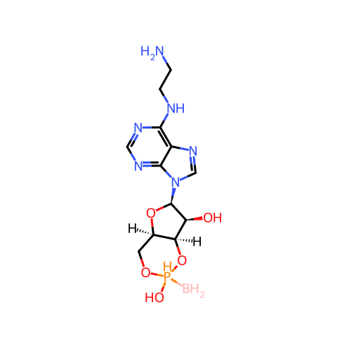 B[PH]1(O)OC[C@H]2O[C@@H](n3cnc4c(NCCN)ncnc43)[C@@H](O)[C@H]2O1